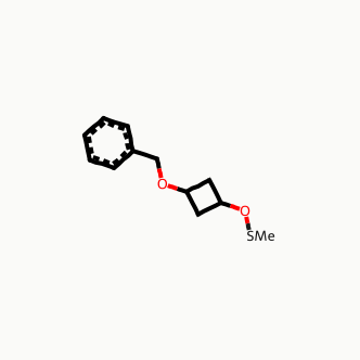 CSOC1CC(OCc2ccccc2)C1